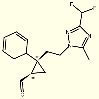 Cc1nc(C(F)F)nn1CC[C@@]1(C2C=CC=CC2)C[C@H]1C=O